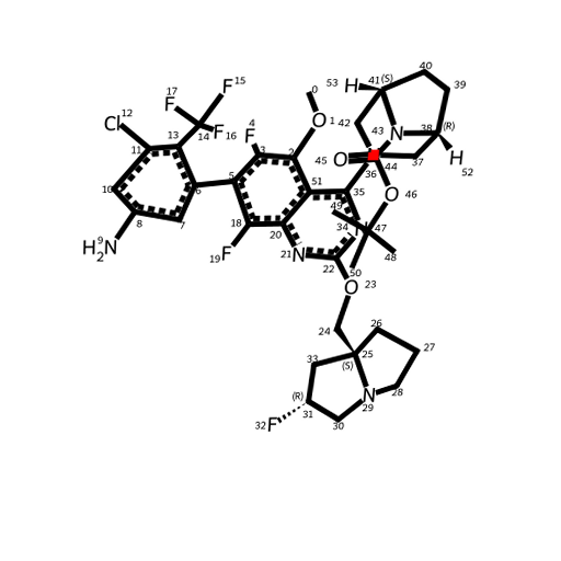 COc1c(F)c(-c2cc(N)cc(Cl)c2C(F)(F)F)c(F)c2nc(OC[C@@]34CCCN3C[C@H](F)C4)nc(N3C[C@H]4CC[C@@H](C3)N4C(=O)OC(C)(C)C)c12